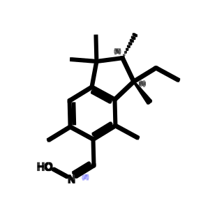 CC[C@]1(C)c2c(cc(C)c(/C=N\O)c2C)C(C)(C)[C@@H]1C